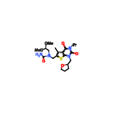 COC(CN(Cc1sc2c(c1C)c(=O)n(C(C)C)c(=O)n2CC1CCCO1)C(N)=O)OC